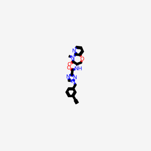 C#Cc1cccc(Cn2cnc(C(=O)N[C@H]3COc4cccnc4N(C)C3=O)n2)c1